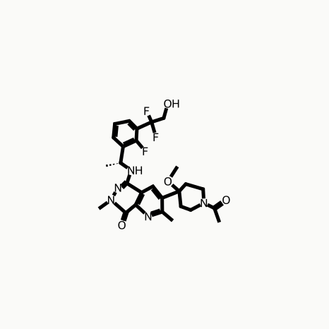 COC1(c2cc3c(N[C@H](C)c4cccc(C(F)(F)CO)c4F)nn(C)c(=O)c3nc2C)CCN(C(C)=O)CC1